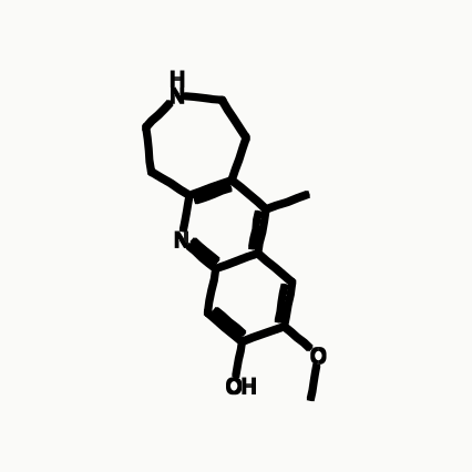 COc1cc2c(C)c3c(nc2cc1O)CCNCC3